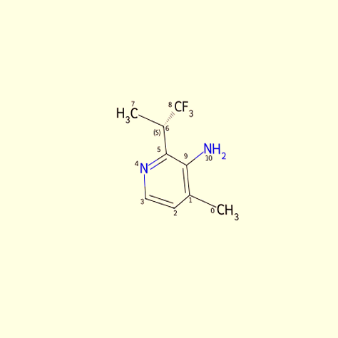 Cc1ccnc([C@H](C)C(F)(F)F)c1N